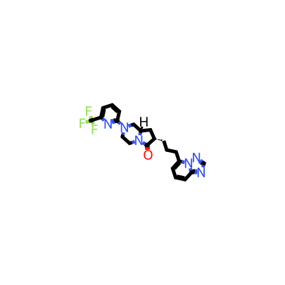 O=C1[C@@H](CCCc2cccc3ncnn23)C[C@H]2CN(c3cccc(C(F)(F)F)n3)CCN12